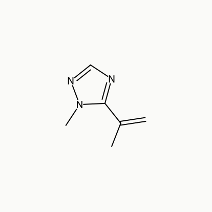 C=C(C)c1ncnn1C